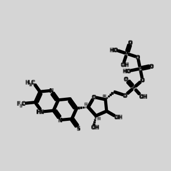 Cc1nc2cc([C@@H]3O[C@H](COP(=O)(O)OP(=O)(O)OP(=O)(O)O)C(O)[C@@H]3O)c(=S)nc-2[nH]c1C(F)(F)F